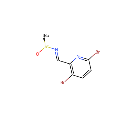 CC(C)(C)[S@+]([O-])N=Cc1nc(Br)ccc1Br